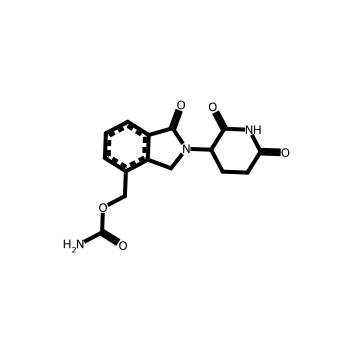 NC(=O)OCc1cccc2c1CN(C1CCC(=O)NC1=O)C2=O